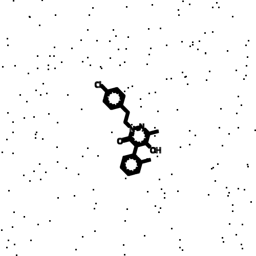 Cc1ccccc1-c1c(O)c(C)nn(CCc2ccc(Cl)cc2)c1=O